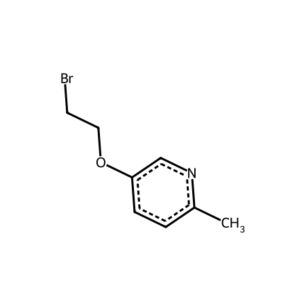 Cc1ccc(OCCBr)cn1